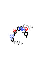 COc1ccnc(NCc2coc(-c3ccc(CC(NC(=O)c4c(C)cc(C)cc4C)C(=O)O)cc3)c2)c1